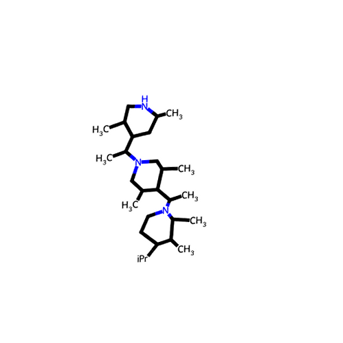 CC1CC(C(C)N2CC(C)C(C(C)N3CCC(C(C)C)C(C)C3C)C(C)C2)C(C)CN1